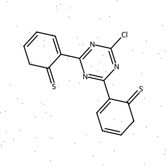 S=C1CC=CC=C1c1nc(Cl)nc(C2=CC=CCC2=S)n1